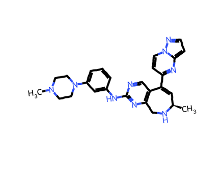 C[C@@H]1C=C(c2ccn3nccc3n2)c2cnc(Nc3cccc(N4CCN(C)CC4)c3)nc2CN1